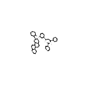 c1ccc(-c2cc(-c3cccc(-n4c5ccccc5c5cc6c(ccc7c8ccccc8ccc67)cc54)c3)nc(-c3ccccc3)n2)cc1